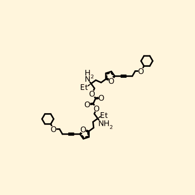 CC[C@@](N)(CCc1ccc(C#CCCOC2CCCCC2)o1)COC(=O)C(=O)OC[C@@](N)(CC)CCc1ccc(C#CCCOC2CCCCC2)o1